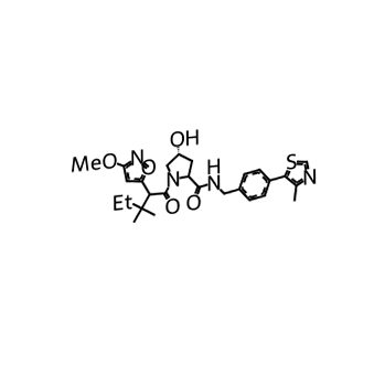 CCC(C)(C)C(C(=O)N1C[C@H](O)CC1C(=O)NCc1ccc(-c2scnc2C)cc1)c1cc(OC)no1